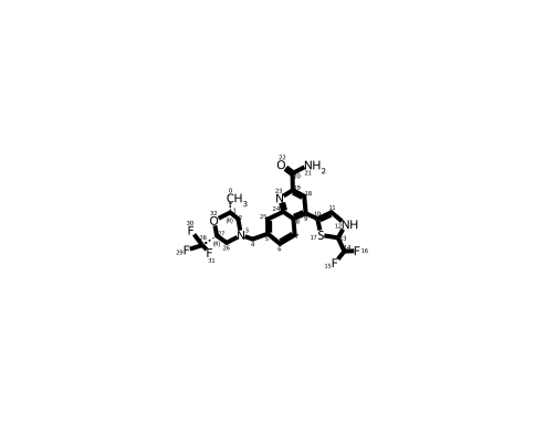 C[C@@H]1CN(Cc2ccc3c(C4=CNC(C(F)F)S4)cc(C(N)=O)nc3c2)C[C@H](C(F)(F)F)O1